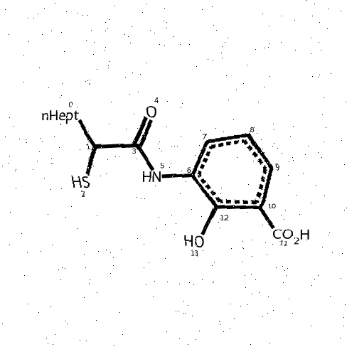 CCCCCCCC(S)C(=O)Nc1cccc(C(=O)O)c1O